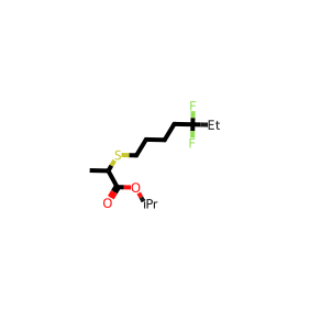 CCC(F)(F)CCCCSC(C)C(=O)OC(C)C